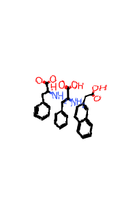 NC(Cc1ccccc1)C(=O)O.NC(Cc1ccccc1)C(=O)O.O=C(O)Cc1ccc2ccccc2c1